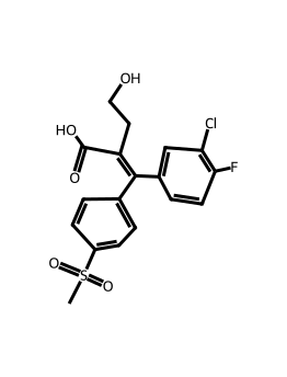 CS(=O)(=O)c1ccc(C(=C(CCO)C(=O)O)c2ccc(F)c(Cl)c2)cc1